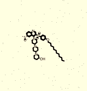 CCCCCCCCCCCCOc1ccc(S(=O)(=O)c2cnc3ccc([S@@+](C)[O-])cc3c2N2CCC(N3CCC(N4CCC[C@@H](O)C4)CC3)CC2)cc1